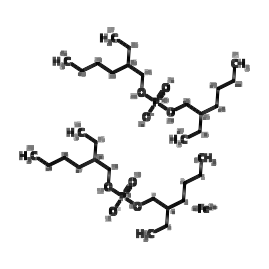 CCCCC(CC)COP(=O)([O-])OCC(CC)CCCC.CCCCC(CC)COP(=O)([O-])OCC(CC)CCCC.[Fe+2]